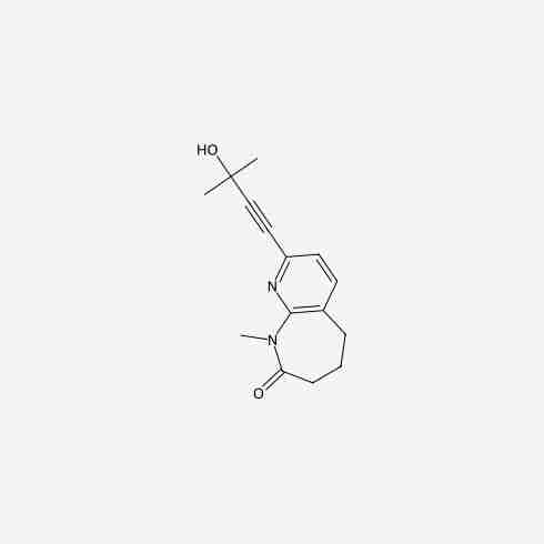 CN1C(=O)CCCc2ccc(C#CC(C)(C)O)nc21